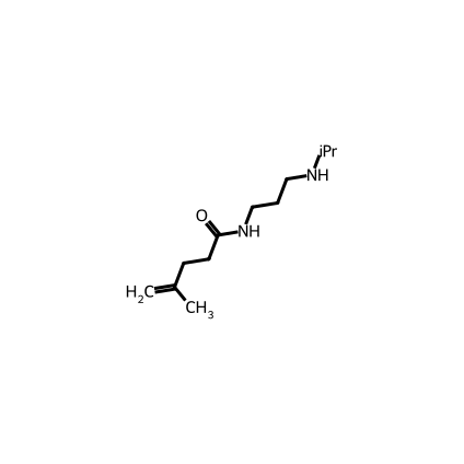 C=C(C)CCC(=O)NCCCNC(C)C